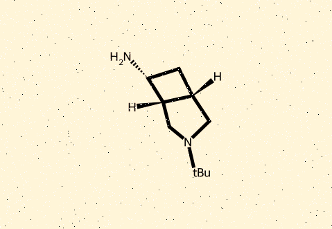 CC(C)(C)N1C[C@H]2C[C@@H](N)[C@H]2C1